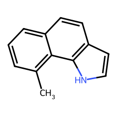 Cc1cccc2ccc3cc[nH]c3c12